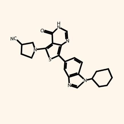 N#CC1CCN(c2sc(-c3ccc4c(c3)ncn4C3CCCCC3)c3nc[nH]c(=O)c23)C1